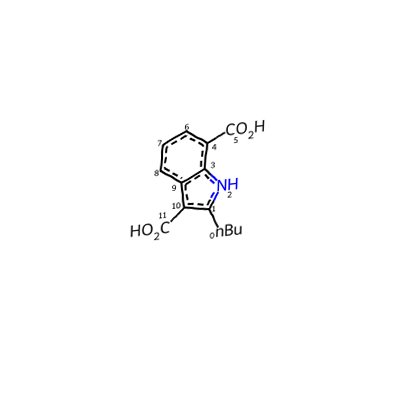 CCCCc1[nH]c2c(C(=O)O)cccc2c1C(=O)O